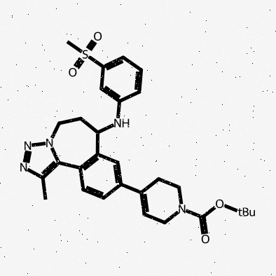 Cc1nnn2c1-c1ccc(C3=CCN(C(=O)OC(C)(C)C)CC3)cc1C(Nc1cccc(S(C)(=O)=O)c1)CC2